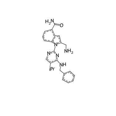 CC(C)c1cnc(-n2c(CN)cc3c(C(N)=O)cccc32)nc1NCc1ccccc1